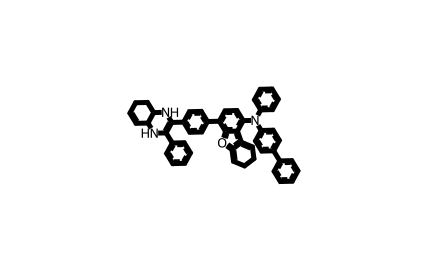 C1=CC2NC(c3ccccc3)=C(c3ccc(-c4ccc(N(c5ccccc5)c5ccc(-c6ccccc6)cc5)c5c6c(oc45)=CCCC=6)cc3)NC2CC1